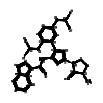 CN1CC[C@@H](n2cc(NC(=O)c3cnn4cccnc34)c(-c3cc(OC(F)F)ccc3OC(F)F)n2)C1=O